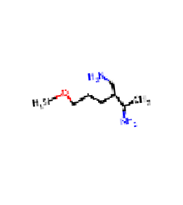 CC(N)C(CN)CCCO[SiH3]